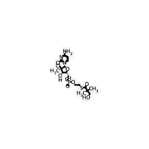 CC(C)(CO)C(=O)SCCO[PH](=O)OC[C@H]1O[C@@H](n2ccc(N)nc2=O)[C@](C)(Cl)[C@@H]1O